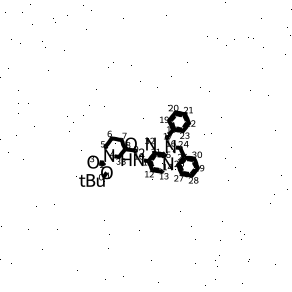 CC(C)(C)OC(=O)N1CCCC(CNc2ccnc(N(Cc3ccccc3)Cc3ccccc3)c2[N+](=O)[O-])C1